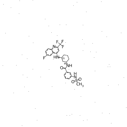 CS(=O)(=O)Nc1cccc(C(=O)N[C@@H]2CCC[C@H](Nc3cc(C(F)(F)F)nc4ccc(F)cc34)C2)c1